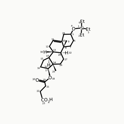 CC[Si](CC)(CC)OC1CC[C@@]2(C)C(=CC[C@H]3[C@@H]4CC[C@H](OC(=O)CCC(=O)O)[C@@]4(C)CC[C@@H]32)C1